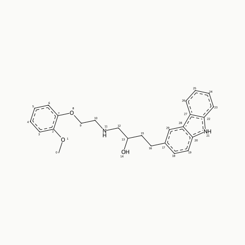 COc1ccccc1OCCNCC(O)CCc1ccc2[nH]c3ccccc3c2c1